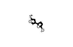 COc1ccc(-c2[c]oc(SC)c2)o1